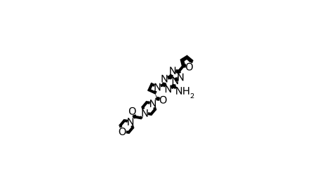 Nc1nc(N2CC[C@H]2C(=O)N2CCN(CC(=O)N3CCOCC3)CC2)nc2nc(-c3ccco3)nn12